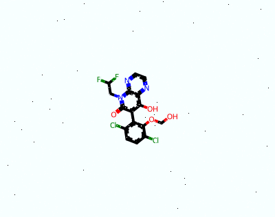 O=c1c(-c2c(Cl)ccc(Cl)c2OCO)c(O)c2nccnc2n1CC(F)F